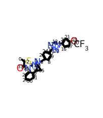 CC1S/C(=N\N=Cc2ccc(-c3ncn(-c4ccc(OC(F)(F)F)cc4)n3)cc2)N(c2ccccc2C2CC2)C1=O